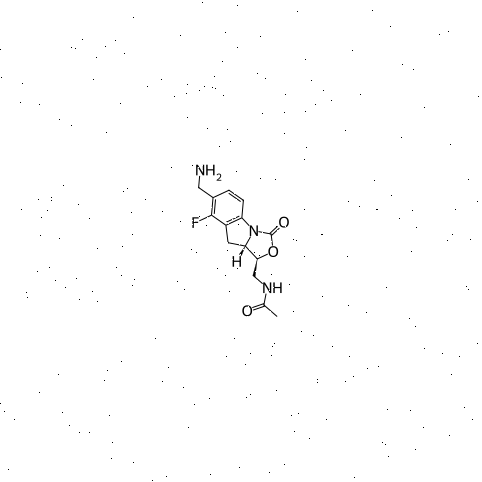 CC(=O)NC[C@@H]1OC(=O)N2c3ccc(CN)c(F)c3C[C@@H]12